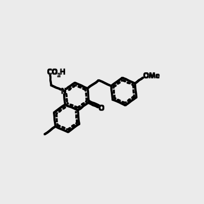 COc1cccc(Cc2cn(CC(=O)O)c3cc(C)ccc3c2=O)c1